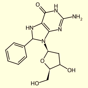 Nc1nc2c(c(=O)[nH]1)NC(c1ccccc1)N2[C@H]1CC(O)[C@@H](CO)O1